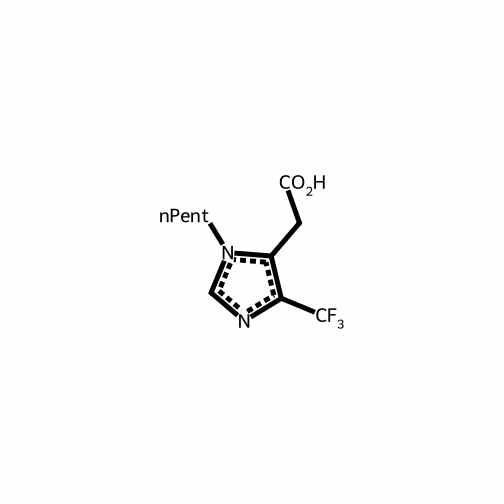 CCCCCn1cnc(C(F)(F)F)c1CC(=O)O